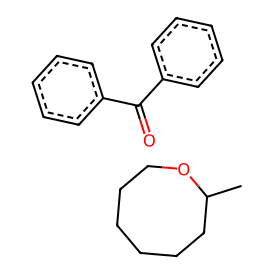 CC1CCCCCCO1.O=C(c1ccccc1)c1ccccc1